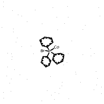 [Co][P](Br)(c1ccccc1)(c1ccccc1)c1ccccc1